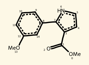 COC(=O)c1cc[nH]c1-c1cccc(OC)c1